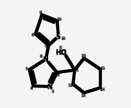 OC1(c2nccn2-c2cccs2)CCCCC1